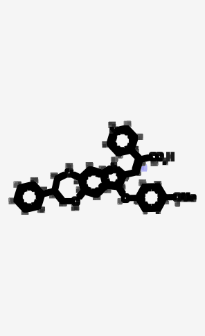 COc1ccc(Oc2c(/C=C(/C(=O)O)c3ccncc3)sc3cc4c(cc23)OCC(c2ccccc2)CO4)cc1